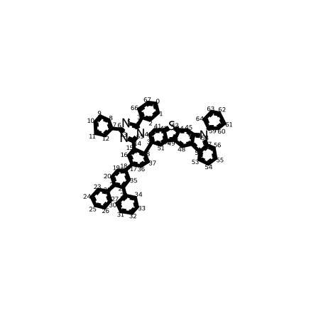 c1ccc(-c2nc(-c3ccccc3)nc(-c3cc(-c4ccc(-c5ccccc5)c(-c5ccccc5)c4)ccc3-c3ccc4sc5cc6c(cc5c4c3)c3ccccc3n6-c3ccccc3)n2)cc1